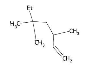 C=CC(C)CC(C)(C)CC